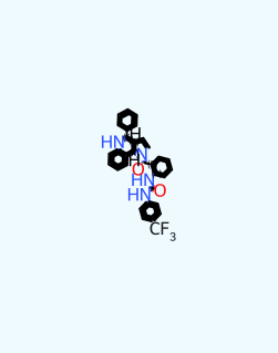 O=C(Nc1ccc(C(F)(F)F)cc1)N[C@@H]1CCCC[C@@H]1C(=O)N1CC[C@@H]2[C@H](C3C=CC=CC3)Nc3ccccc3[C@@H]21